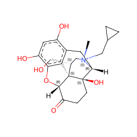 C[N@+]1(CC2CC2)C[C@@H](CO)[C@]23c4c5c(O)cc(O)c4O[C@H]2C(=O)CC[C@@]3(O)[C@H]1C5